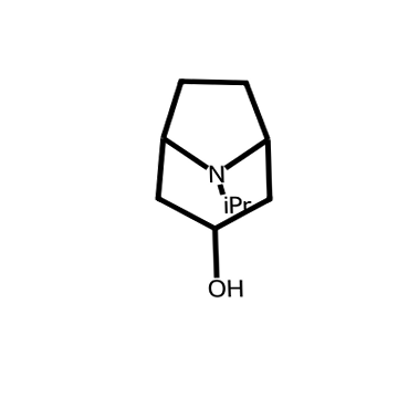 CC(C)N1C2CCC1CC(O)C2